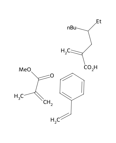 C=C(C)C(=O)OC.C=C(CC(CC)CCCC)C(=O)O.C=Cc1ccccc1